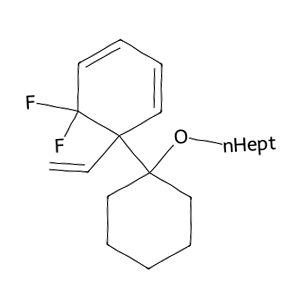 C=CC1(C2(OCCCCCCC)CCCCC2)C=CC=CC1(F)F